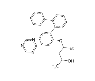 CCC(CC(C)O)Oc1ccccc1-c1ccccc1-c1ccccc1.c1ncncn1